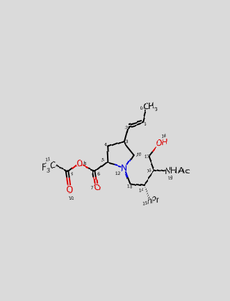 CC=CC1CC(C(=O)OC(=O)C(F)(F)F)N(C[C@@H](CCC)C(CO)NC(C)=O)C1